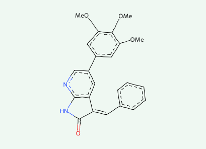 COc1cc(-c2cnc3c(c2)/C(=C\c2ccccc2)C(=O)N3)cc(OC)c1OC